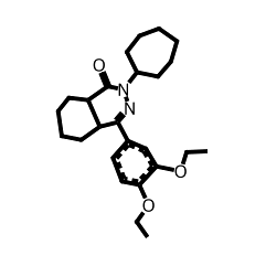 CCOc1ccc(C2=NN(C3CCCCCC3)C(=O)C3CCCCC23)cc1OCC